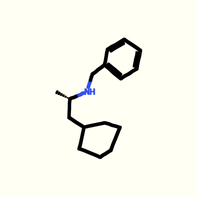 C[C@@H](CC1CCCCC1)NCc1ccccc1